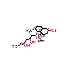 C[C@H]1C=CC2=C[C@@H](O)C[C@H](O)[C@@H]2[C@H]1CC[C@@H](O)C[C@@H](O)CC(=O)[O-].[Na+]